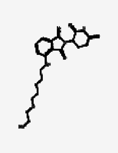 O=C1CCC(N2C(=O)c3cccc(NCCOCCOCCO)c3C2=O)C(=O)N1